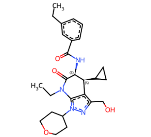 CCc1cccc(C(=O)N[C@@H]2C(=O)N(CC)c3c(c(CO)nn3C3CCOCC3)[C@@H]2C2CC2)c1